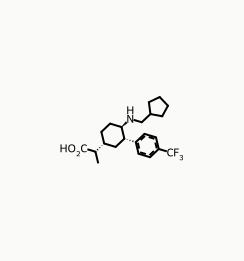 CC(C(=O)O)[C@@H]1CC[C@@H](NCC2CCCC2)[C@H](c2ccc(C(F)(F)F)cc2)C1